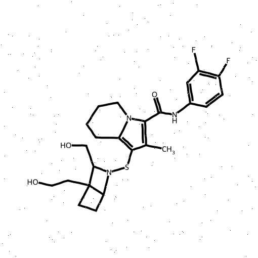 Cc1c(SN2C(CO)C3(CCO)CCC23)c2n(c1C(=O)Nc1ccc(F)c(F)c1)CCCC2